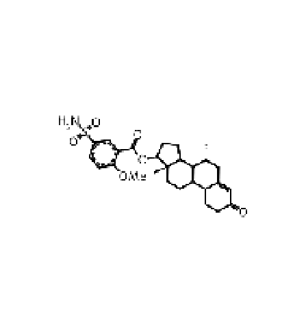 COc1ccc(S(N)(=O)=O)cc1C(=O)O[C@H]1CCC2C3C(CC[C@@]21C)C1CCC(=O)C=C1C[C@H]3C